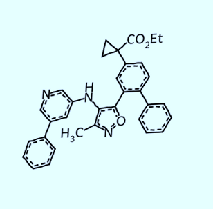 CCOC(=O)C1(c2ccc(-c3ccccc3)c(-c3onc(C)c3Nc3cncc(-c4ccccc4)c3)c2)CC1